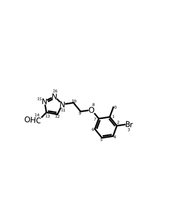 Cc1c(Br)cccc1OCCn1cc(C=O)nn1